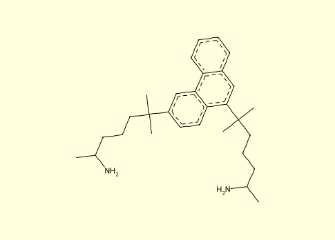 CC(N)CCCC(C)(C)c1ccc2c(C(C)(C)CCCC(C)N)cc3ccccc3c2c1